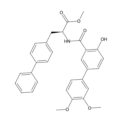 COC(=O)[C@H](Cc1ccc(-c2ccccc2)cc1)NC(=O)c1cc(-c2ccc(OC)c(OC)c2)ccc1O